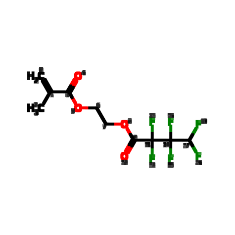 C=C(C)C(=O)OCCOC(=O)C(F)(F)C(F)(F)C(F)F